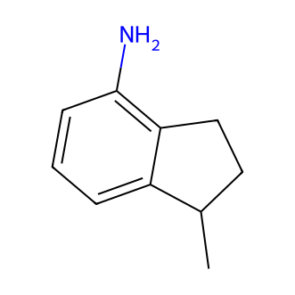 CC1CCc2c(N)cccc21